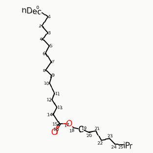 CCCCCCCCCCCCCCCCCCCCCCCCC(=O)OCCCCCCCC(C)C